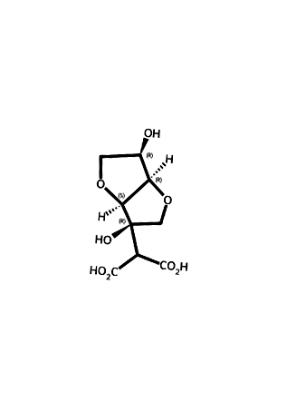 O=C(O)C(C(=O)O)[C@@]1(O)CO[C@@H]2[C@H](O)CO[C@@H]21